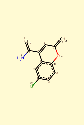 C=C1C=C(C(=C)N)c2cc(Cl)ccc2O1